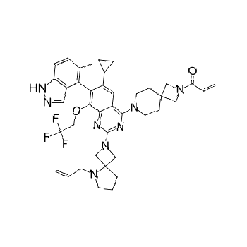 C=CCN1CCCC12CN(c1nc(N3CCC4(CC3)CN(C(=O)C=C)C4)c3cc(C4CC4)c(-c4c(C)ccc5[nH]ncc45)c(OCC(F)(F)F)c3n1)C2